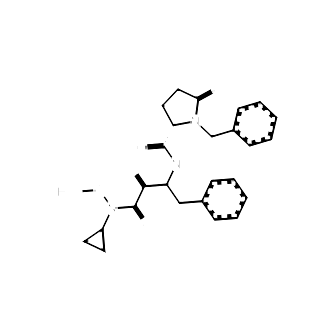 CON(C(=O)C(=O)C(Cc1ccccc1)NC(=O)[C@@H]1CCC(=O)N1Cc1ccccc1)C1CC1